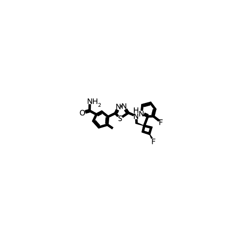 Cc1ccc(C(N)=O)cc1-c1nnc(NC[C@]2(c3ncccc3F)C[C@H](F)C2)s1